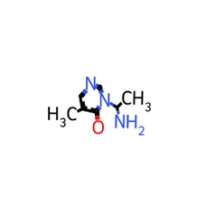 Cc1cncn(C(C)N)c1=O